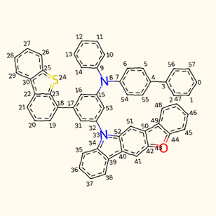 c1ccc(-c2ccc(N(c3ccccc3)c3cc(-c4cccc5c4sc4ccccc45)cc(-n4c5ccccc5c5cc6oc7ccccc7c6cc54)c3)cc2)cc1